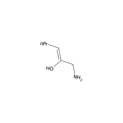 CCCC=C(O)CN